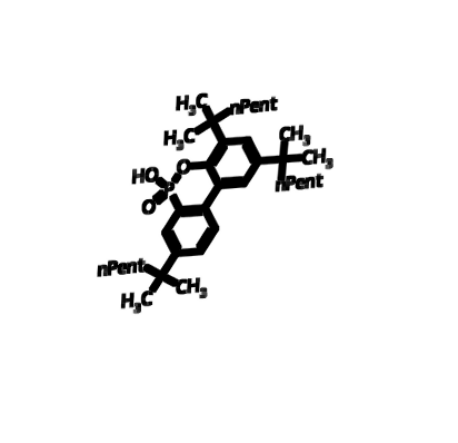 CCCCCC(C)(C)c1cc2c(c(C(C)(C)CCCCC)c1)OP(=O)(O)c1cc(C(C)(C)CCCCC)ccc1-2